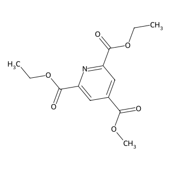 CCOC(=O)c1cc(C(=O)OC)cc(C(=O)OCC)n1